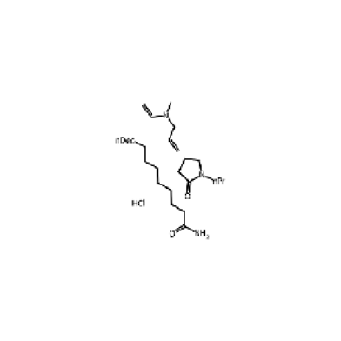 C=CCN(C)C=C.CCCCCCCCCCCCCCCCCC(N)=O.CCCN1CCCC1=O.Cl